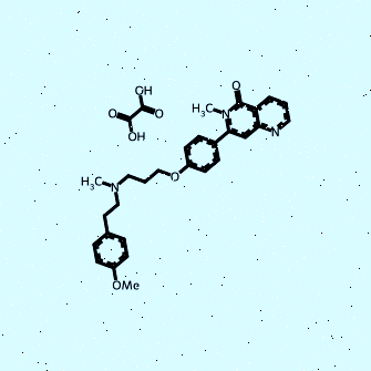 COc1ccc(CCN(C)CCCOc2ccc(-c3cc4ncccc4c(=O)n3C)cc2)cc1.O=C(O)C(=O)O